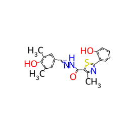 Cc1cc(/C=N/NC(=O)c2sc(-c3ccccc3O)nc2C)cc(C)c1O